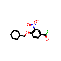 O=C(Cl)c1ccc(OCC2CCCCC2)c([N+](=O)[O-])c1